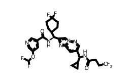 O=C(CCC(F)(F)F)NC(c1cnn2cc([C@@H](NC(=O)c3cncc(OC(F)F)c3)C3CCC(F)(F)CC3)nc2c1)C1CC1